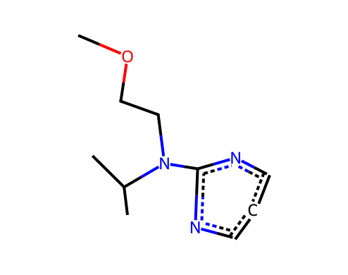 COCCN(c1ncccn1)C(C)C